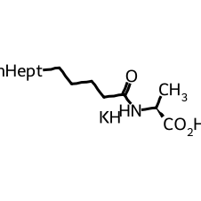 CCCCCCCCCCCC(=O)N[C@@H](C)C(=O)O.[KH]